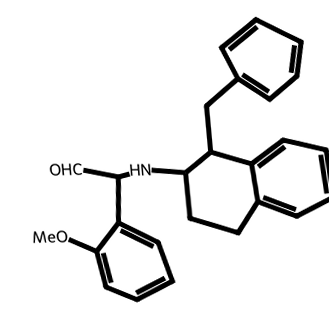 COc1ccccc1C(C=O)NC1CCc2ccccc2C1Cc1ccccc1